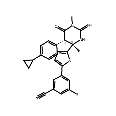 CN1C(=N)N[C@](C)(c2ccc(-c3cc(F)cc(C#N)c3)s2)[C@H](c2ccc(C3CC3)cc2)C1=O